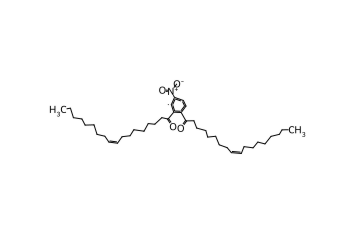 CCCCCCCC/C=C\CCCCCCCC(=O)c1[c]c([N+](=O)[O-])ccc1C(=O)CCCCCCC/C=C\CCCCCCCC